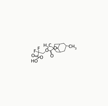 CC1CC2CC(C)(C(=O)OCC(F)(F)S(=O)(=O)O)CC(C1)C2=O